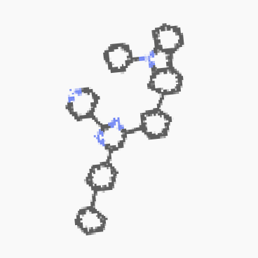 c1ccc(-c2ccc(-c3cc(-c4cccc(-c5ccc6c7ccccc7n(-c7ccccc7)c6c5)c4)nc(-c4ccncc4)n3)cc2)cc1